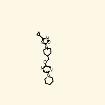 c1nc(N2CCCCC2)cnc1OCC1CCN(c2nc(C3CC3)no2)CC1